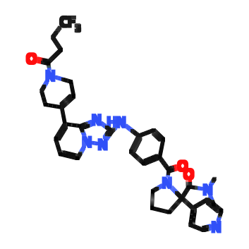 CN(C)C(=O)C1(c2ccncc2)CCCN1C(=O)c1ccc(Nc2nc3c(C4=CCN(C(=O)CCC(F)(F)F)CC4)cccn3n2)cc1